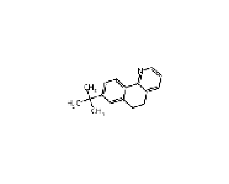 CC(C)(C)c1ccc2c(c1)CCc1cccnc1-2